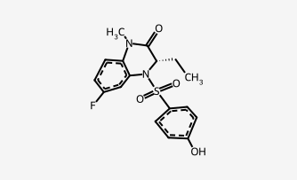 CC[C@H]1C(=O)N(C)c2ccc(F)cc2N1S(=O)(=O)c1ccc(O)cc1